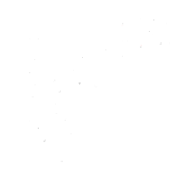 COc1ccc2c(Oc3ccc(/C=C/C(=O)OC(C)(C)C)cc3)c(-c3ccc(F)cc3C(F)(F)F)sc2c1